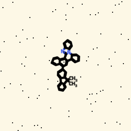 CC1(C)c2ccccc2-c2ccc(-c3cc4c5ccccc5n5c6ccccc6nc5c4c4ccccc34)cc21